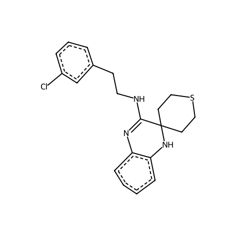 Clc1cccc(CCNC2=Nc3ccccc3NC23CCSCC3)c1